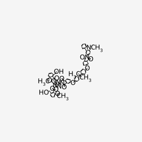 CCn1c2ccccc2c2cc(N3C(=O)c4ccc(Oc5ccc(C(C)(C)c6ccc(Oc7ccc8c(c7)C(=O)N(c7nc(OC(=O)c9c(CO)cccc9OC)nc(OC(=O)c9c(CO)cccc9OC)n7)C8=O)cc6)cc5)cc4C3=O)ccc21